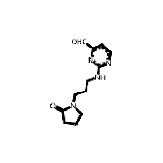 O=Cc1ccnc(NCCCN2CCCC2=O)n1